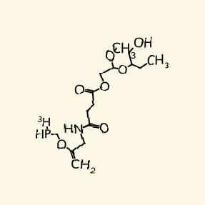 [3H]PCOC(=C)CNC(=O)CCC(=O)OCC(OC)OC(CC)CO